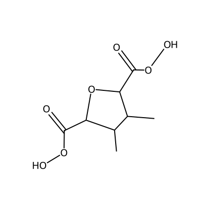 CC1C(C(=O)OO)OC(C(=O)OO)C1C